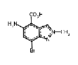 Cn1cc2c(C(=O)O)c(N)cc(Br)c2n1